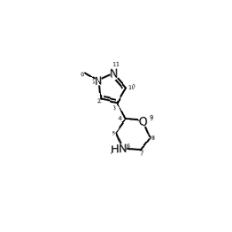 Cn1cc(C2CNCCO2)cn1